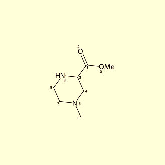 COC(=O)C1CN(C)CCN1